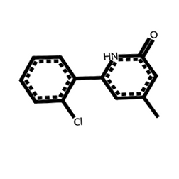 Cc1cc(-c2ccccc2Cl)[nH]c(=O)c1